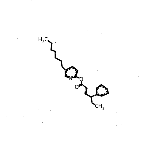 CCCCCCCc1ccc(OC(=O)/C=C/C(CC)c2ccccc2)nc1